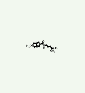 CC(C)CCCNC(=O)N1CC2CN(C)CC2C1